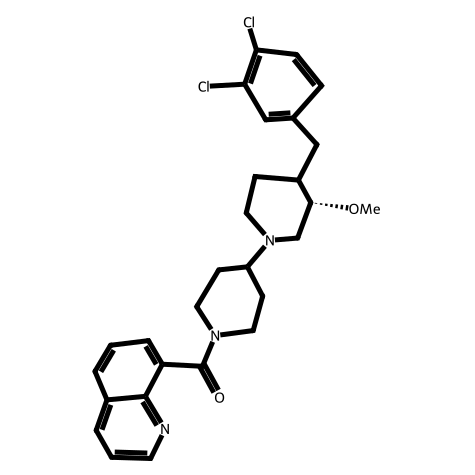 CO[C@@H]1CN(C2CCN(C(=O)c3cccc4cccnc34)CC2)CCC1Cc1ccc(Cl)c(Cl)c1